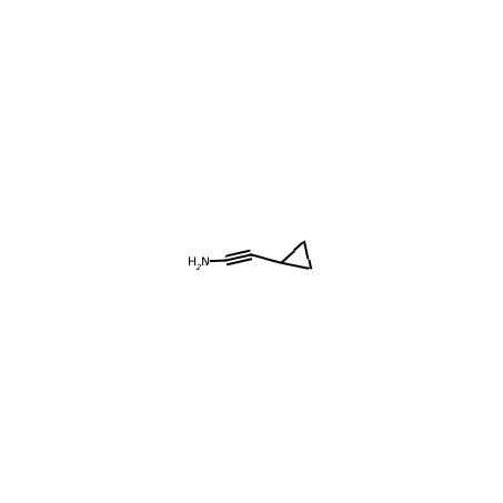 NC#CC1CC1